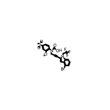 COc1cc(S(C)(=O)=O)ccc1N(CC#Cc1cc2c(Br)cccc2n1CC(F)(F)F)C(=O)O